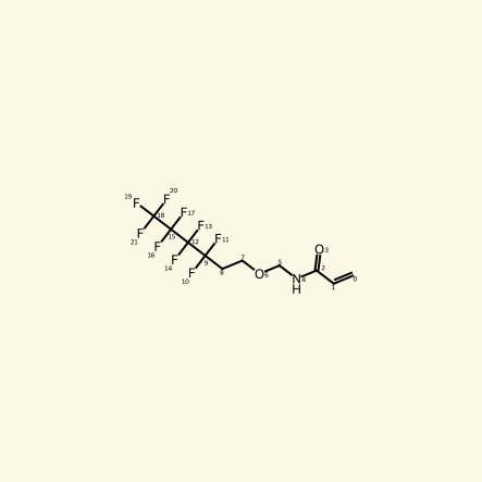 C=CC(=O)NCOCCC(F)(F)C(F)(F)C(F)(F)C(F)(F)F